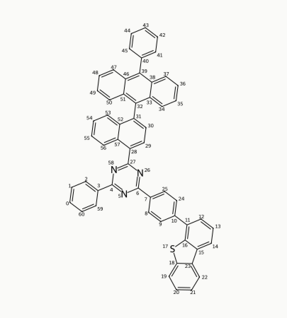 c1ccc(-c2nc(-c3ccc(-c4cccc5c4sc4ccccc45)cc3)nc(-c3ccc(-c4c5ccccc5c(-c5ccccc5)c5ccccc45)c4ccccc34)n2)cc1